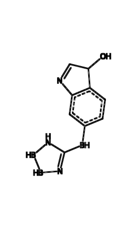 OC1C=Nc2cc(BC3=NBBN3)ccc21